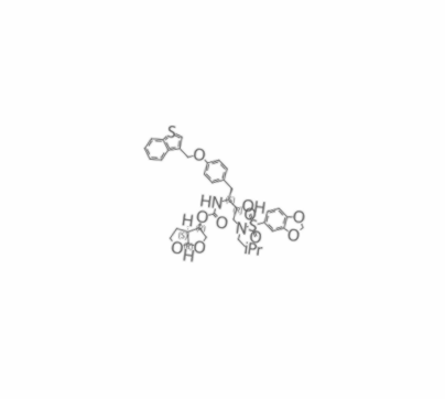 CC(C)CN(C[C@@H](O)[C@H](Cc1ccc(OCc2csc3ccccc23)cc1)NC(=O)O[C@H]1CO[C@H]2OCC[C@H]21)S(=O)(=O)c1ccc2c(c1)OCO2